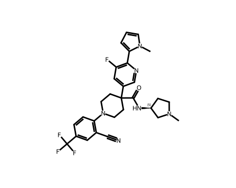 CN1CC[C@H](NC(=O)C2(c3cnc(-c4cccn4C)c(F)c3)CCN(c3ccc(C(F)(F)F)cc3C#N)CC2)C1